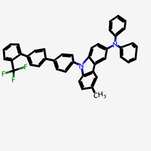 Cc1ccc2c(c1)c1cc(N(c3ccccc3)c3ccccc3)ccc1n2-c1ccc(-c2ccc(-c3ccccc3C(F)(F)F)cc2)cc1